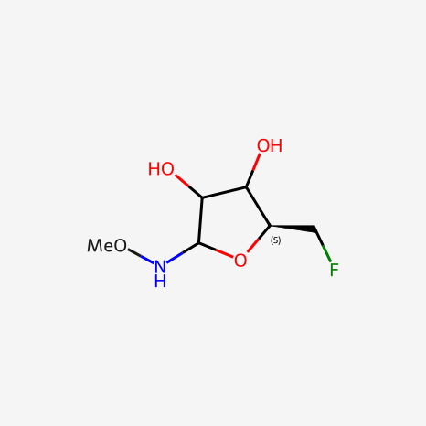 CONC1O[C@H](CF)C(O)C1O